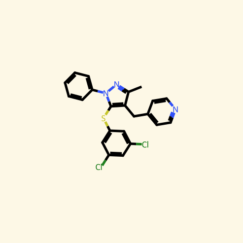 Cc1nn(-c2ccccc2)c(Sc2cc(Cl)cc(Cl)c2)c1Cc1ccncc1